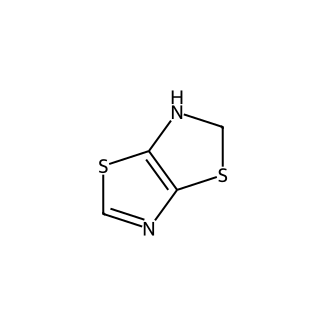 c1nc2c(s1)NCS2